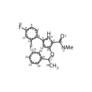 CNC(=O)c1[nH]c(-c2ccc(F)cc2F)cc1OC(C)c1ccccc1